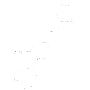 CNC(CC(=O)OCc1ccccc1)C(=O)C1CNCCO1